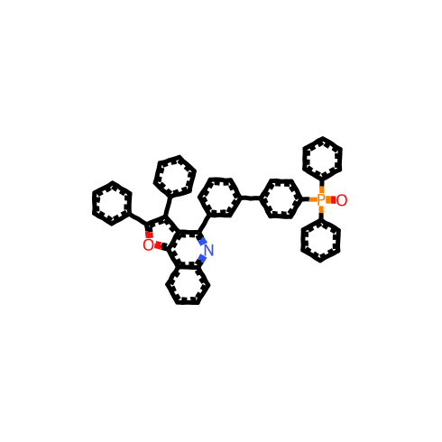 O=P(c1ccccc1)(c1ccccc1)c1ccc(-c2cccc(-c3nc4ccccc4c4oc(-c5ccccc5)c(-c5ccccc5)c34)c2)cc1